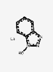 On1nnc2ccccc21.[Ca]